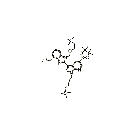 COCc1cccc2c1nc(-c1nn(COCC[Si](C)(C)C)c3ncc(B4OC(C)(C)C(C)(C)O4)cc13)n2COCC[Si](C)(C)C